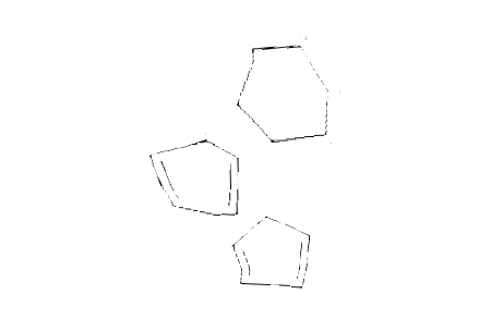 C1=CCC=C1.C1=CCC=C1.C1CCCCC1